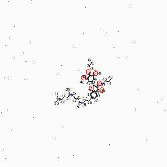 CCCCOc1c(OC)cc(-c2oc3cc(CC/C=C(/C)CC/C=C(/C)CCC=C(C)C)ccc3c(=O)c2OCCCC)cc1OC